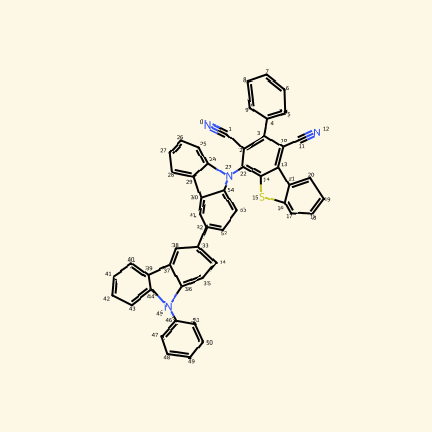 N#Cc1c(-c2ccccc2)c(C#N)c2c(sc3ccccc32)c1-n1c2ccccc2c2cc(-c3ccc4c(c3)c3ccccc3n4-c3ccccc3)ccc21